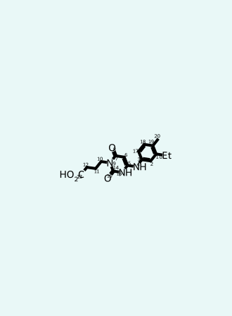 CCc1cc(Nc2cc(=O)n(CCCC(=O)O)c(=O)[nH]2)ccc1C